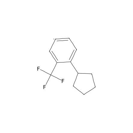 FC(F)(F)c1c[c]ccc1C1CCCC1